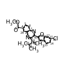 COC(=O)c1ccc2nc(-c3cc4ccc(Cl)cc4o3)c(N(C)C(C)C)nc2c1